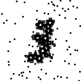 CC1C=CC2=C(C=CC(c3cccc4c3sc3ccccc34)C2C)C1Nc1ccc(C2=CC3C(C=C2)c2ccccc2N3c2ccccc2)cc1C1(C)C=CC=CC1